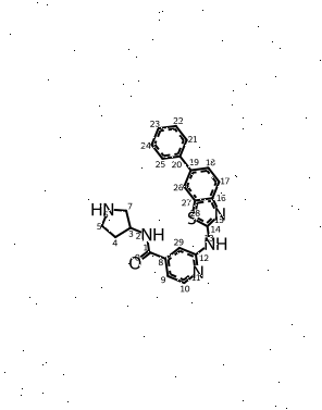 O=C(NC1CCNC1)c1ccnc(Nc2nc3ccc(-c4ccccc4)cc3s2)c1